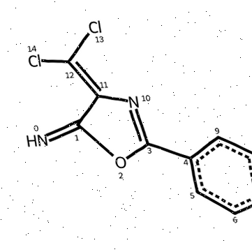 N=C1OC(c2ccccc2)=NC1=C(Cl)Cl